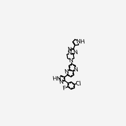 Fc1ccc(Cl)cc1-c1n[nH]cc1-c1ccc2ncc(N3CCn4nc(C5=CCNC5)nc4C3)cc2n1